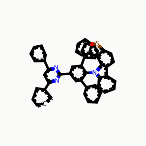 c1ccc(-c2cc(-c3ccccc3)nc(-c3cc(-c4ccccc4)c(-n4c5ccccc5c5ccc6sc7ccccc7c6c54)c(-c4ccccc4)c3)n2)cc1